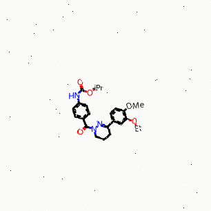 CCOc1cc(C2=NN(C(=O)c3ccc(NC(=O)OC(C)C)cc3)CCC2)ccc1OC